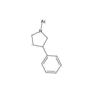 CC(=O)N1C[CH]C(c2ccccc2)C1